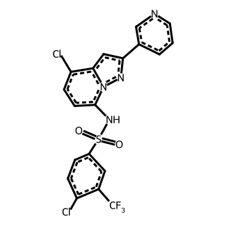 O=S(=O)(Nc1ccc(Cl)c2cc(-c3cccnc3)nn12)c1ccc(Cl)c(C(F)(F)F)c1